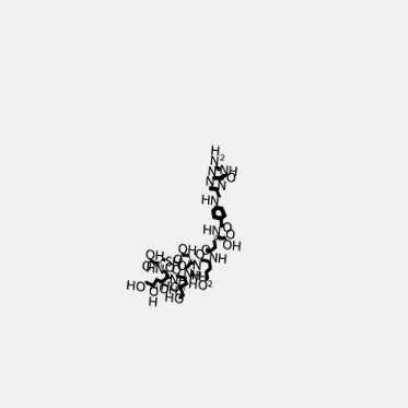 Nc1nc2ncc(CNc3ccc(C(=O)N[C@@H](CCC(=O)NC(CCCO)C(=O)N[C@@H](CC(=O)O)C(=O)N(N)C(C[C@H](O)CO)C(=O)N[C@H](C(=O)N[C@@H](CS)C(=O)O)[C@@H](O)C[C@H](O)CO)C(=O)O)cc3)nc2c(=O)[nH]1